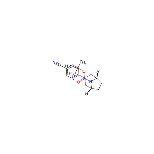 CC(C)(C)OC(=O)N1[C@@H]2CC[C@H]1CN(c1ccc(C#N)cn1)C2